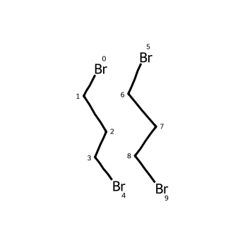 BrCCCBr.BrCCCBr